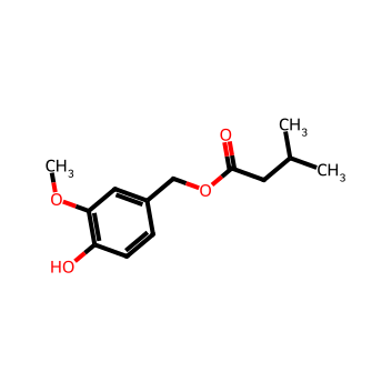 COc1cc(COC(=O)CC(C)C)ccc1O